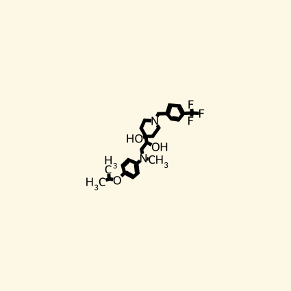 CC(C)Oc1ccc(N(C)CC(O)C2(O)CCN(Cc3ccc(C(F)(F)F)cc3)CC2)cc1